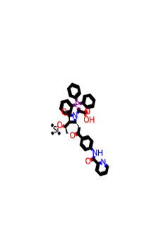 C[C@@H](O[Si](C)(C)C)[C@H]1C(=O)N(C(C(=O)O)=P(c2ccccc2)(c2ccccc2)c2ccccc2)[C@@H]1CC(=O)c1ccc(NC(=O)c2ccccn2)cc1